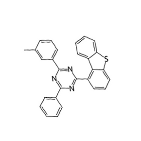 Cc1cccc(-c2nc(-c3ccccc3)nc(-c3cccc4sc5ccccc5c34)n2)c1